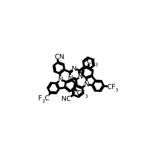 N#Cc1ccc(-n2c3ccc(C(F)(F)F)cc3c3cc(C(F)(F)F)ccc32)c(-c2nc(-c3ccccc3)nc(-c3cc(C#N)ccc3-n3c4ccc(C(F)(F)F)cc4c4cc(C(F)(F)F)ccc43)n2)c1